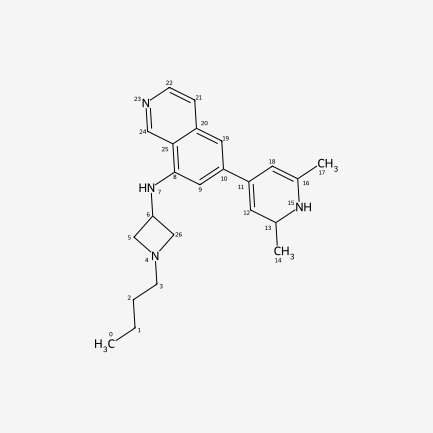 CCCCN1CC(Nc2cc(C3=CC(C)NC(C)=C3)cc3ccncc23)C1